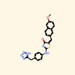 COc1ccc2cc(C=C3SC(Nc4ccc(Cc5nnn[nH]5)cc4)=NC3=O)ccc2c1